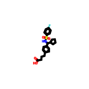 O=C(O)CCCc1ccc(C(NS(=O)(=O)c2ccc(F)cc2)C2CCCC2)cc1